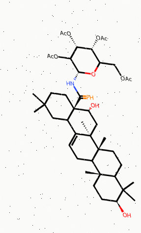 CC(=O)OCC1O[C@H](NC(=P)[C@]23CCC(C)(C)CC2C2=CCC4[C@@]5(C)CC[C@H](O)C(C)(C)C5CC[C@@]4(C)[C@]2(C)C[C@H]3O)C(OC(C)=O)[C@H](OC(C)=O)[C@@H]1OC(C)=O